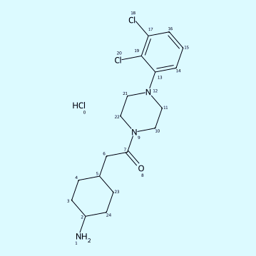 Cl.NC1CCC(CC(=O)N2CCN(c3cccc(Cl)c3Cl)CC2)CC1